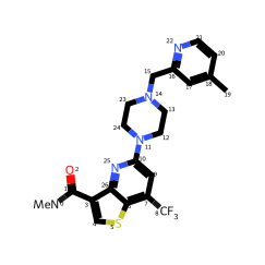 CNC(=O)c1csc2c(C(F)(F)F)cc(N3CCN(Cc4cc(C)ccn4)CC3)nc12